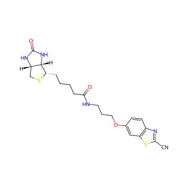 N#Cc1nc2ccc(OCCCNC(=O)CCCC[C@@H]3SC[C@@H]4NC(=O)N[C@@H]43)cc2s1